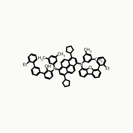 CCc1ccccc1-c1cccc(-c2cccc(N(c3cc(C)cc(C)c3)c3cc(C4CCCC4)c4ccc5c(N(c6cc(C)cc(C)c6)c6cccc7c6oc6c(-c8ccccc8CC)cccc67)cc(C6CCCC6)c6ccc3c4c65)c2O)c1